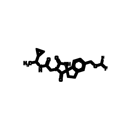 CC(NC(=O)CN1C(=O)NC2(CCc3cc(COC(F)F)ccc32)C1=O)C1CC1